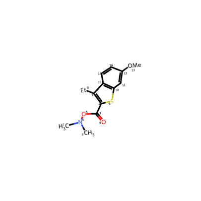 CCc1c(C(=O)ON(C)C)sc2cc(OC)ccc12